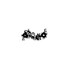 O=C(NN1CCOc2ccc(F)cc21)Oc1cnc(-c2cccc(F)c2)nc1